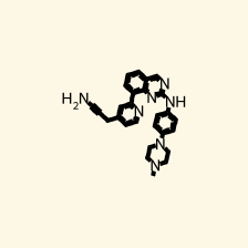 CN1CCN(c2ccc(Nc3ncc4cccc(-c5cc(CC#CN)ccn5)c4n3)cc2)CC1